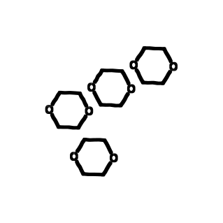 C1COCCO1.C1COCCO1.C1COCCO1.C1COCCO1